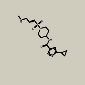 CNC/C=C/S(=O)(=O)N1CCC(NC(=O)c2cc(C3CC3)on2)CC1